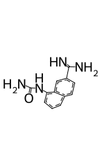 N=C(N)c1ccc2cccc(NC(N)=O)c2c1